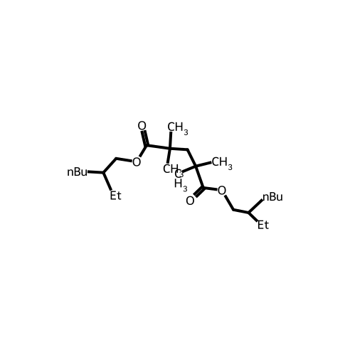 CCCCC(CC)COC(=O)C(C)(C)CC(C)(C)C(=O)OCC(CC)CCCC